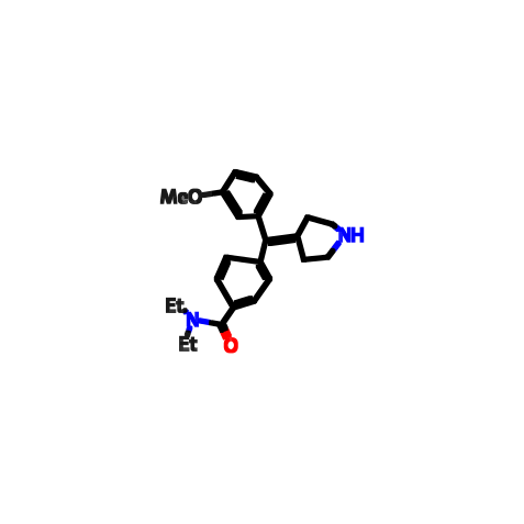 CCN(CC)C(=O)c1ccc(C(=C2CCNCC2)c2cccc(OC)c2)cc1